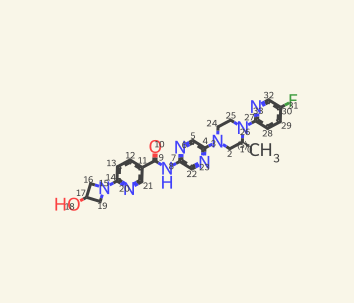 C[C@H]1CN(c2cnc(NC(=O)c3ccc(N4CC(O)C4)nc3)cn2)CCN1c1ccc(F)cn1